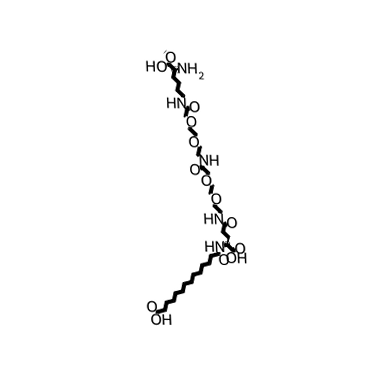 COC(O)[C@@H](N)CCCCNC(=O)COCCOCCNC(=O)COCCOCCNC(=O)CC[C@H](NC(=O)CCCCCCCCCCCCC(=O)O)C(=O)O